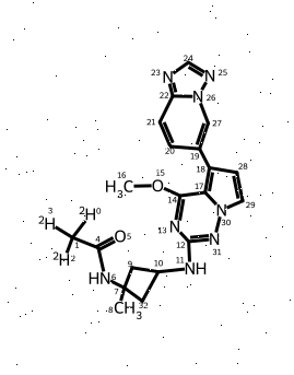 [2H]C([2H])([2H])C(=O)NC1(C)CC(Nc2nc(OC)c3c(-c4ccc5ncnn5c4)ccn3n2)C1